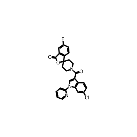 O=C1OC2(CCN(C(=O)c3cn(-c4ccccn4)c4cc(Cl)ccc34)CC2)c2ccc(F)cc21